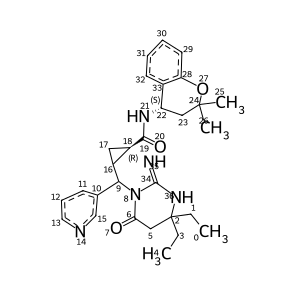 CCC1(CC)CC(=O)N(C(c2cccnc2)C2C[C@H]2C(=O)N[C@H]2CC(C)(C)Oc3ccccc32)C(=N)N1